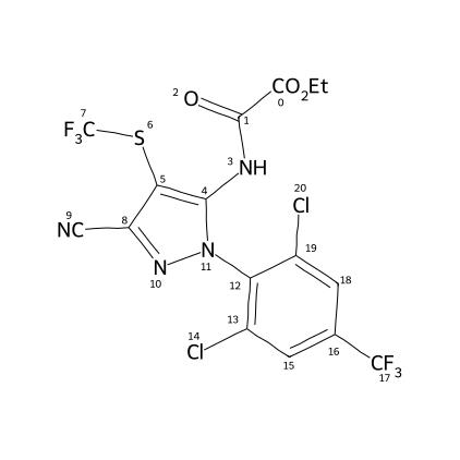 CCOC(=O)C(=O)Nc1c(SC(F)(F)F)c(C#N)nn1-c1c(Cl)cc(C(F)(F)F)cc1Cl